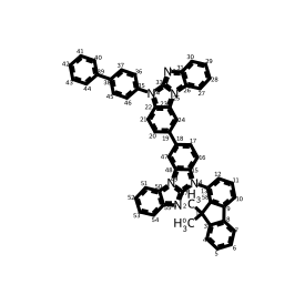 CC1(C)c2ccccc2-c2cccc(-n3c4ccc(-c5ccc6c(c5)n5c7ccccc7nc5n6-c5ccc(-c6ccccc6)cc5)cc4n4c5ccccc5nc34)c21